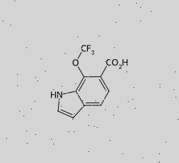 O=C(O)c1ccc2cc[nH]c2c1OC(F)(F)F